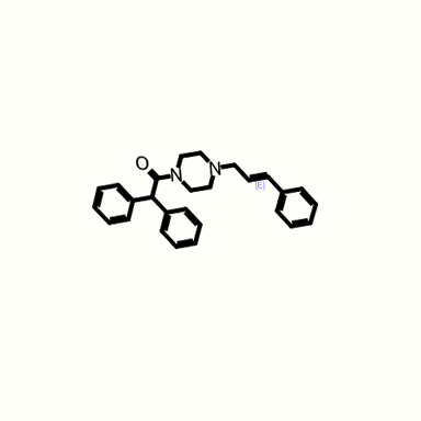 O=C(C(c1ccccc1)c1ccccc1)N1CCN(C/C=C/c2ccccc2)CC1